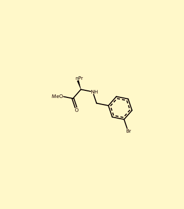 CCC[C@@H](NCc1cccc(Br)c1)C(=O)OC